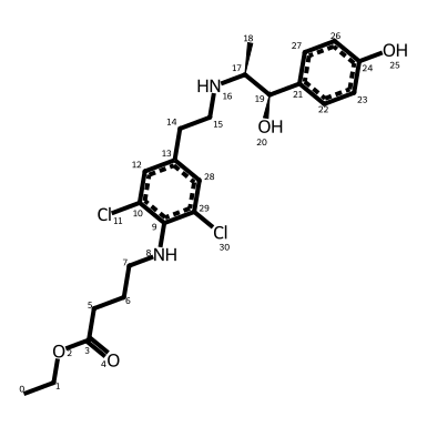 CCOC(=O)CCCNc1c(Cl)cc(CCN[C@@H](C)[C@H](O)c2ccc(O)cc2)cc1Cl